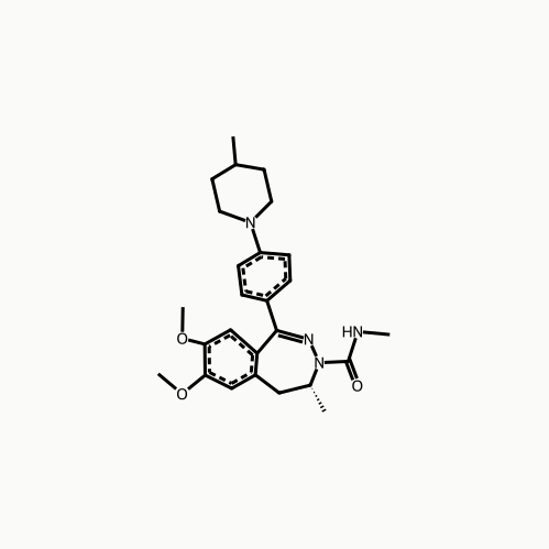 CNC(=O)N1N=C(c2ccc(N3CCC(C)CC3)cc2)c2cc(OC)c(OC)cc2C[C@H]1C